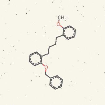 [CH2]Oc1ccccc1CCCCc1ccccc1OCc1ccccc1